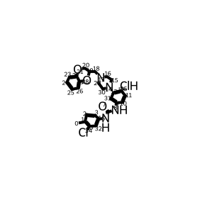 Cc1ccc(NC(=O)Nc2cccc(N3CCN(CC4COc5ccccc5O4)CC3)c2)cc1Cl.Cl